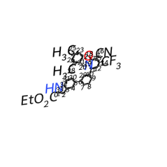 CCOC(=O)c1cc2cc(-c3cccc(-c4cc(C(F)(F)F)c(C#N)c(=O)n4Cc4ccc(C)cc4C)c3)ccc2[nH]1